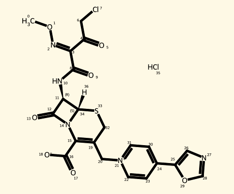 CON=C(C(=O)CCl)C(=O)N[C@@H]1C(=O)N2C(C(=O)[O-])=C(C[n+]3ccc(-c4cnco4)cc3)CS[C@@H]12.Cl